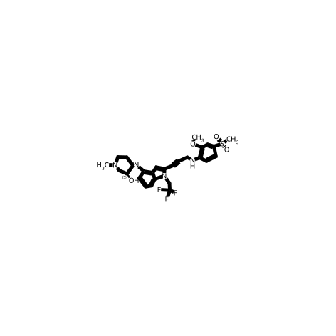 COc1cc(S(C)(=O)=O)ccc1NCC#Cc1cc2c(NC3CCN(C)C[C@@H]3O)cccc2n1CC(F)(F)F